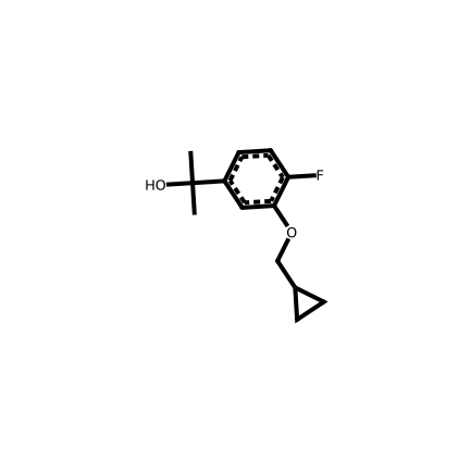 CC(C)(O)c1ccc(F)c(OCC2CC2)c1